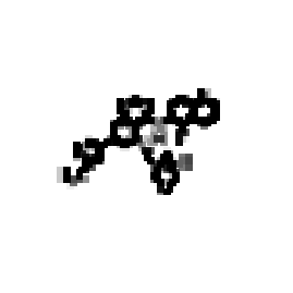 Cn1cc(-c2cc(OC[C@@]34COC[C@@H]3C4)c3c(Nc4ccc5ncccc5c4F)ncnc3c2)cn1